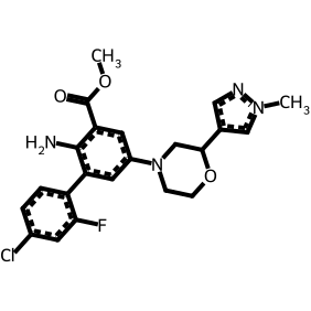 COC(=O)c1cc(N2CCOC(c3cnn(C)c3)C2)cc(-c2ccc(Cl)cc2F)c1N